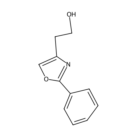 OCCc1coc(-c2ccccc2)n1